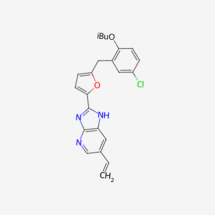 C=Cc1cnc2nc(-c3ccc(Cc4cc(Cl)ccc4OCC(C)C)o3)[nH]c2c1